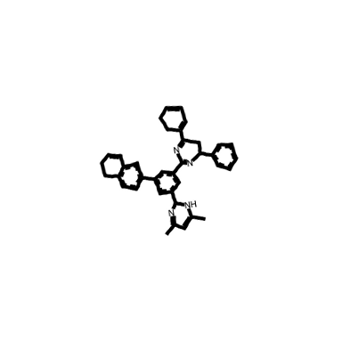 CC1=CC(C)=NC(c2cc(C3=NC(c4ccccc4)CC(C4=CC=CCC4)=N3)cc(-c3ccc4c(c3)C=CCC4)c2)N1